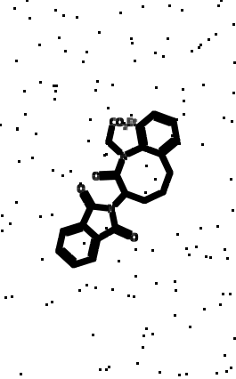 CCOC(=O)CN1C(=O)C(N2C(=O)c3ccccc3C2=O)CCCc2ccccc21